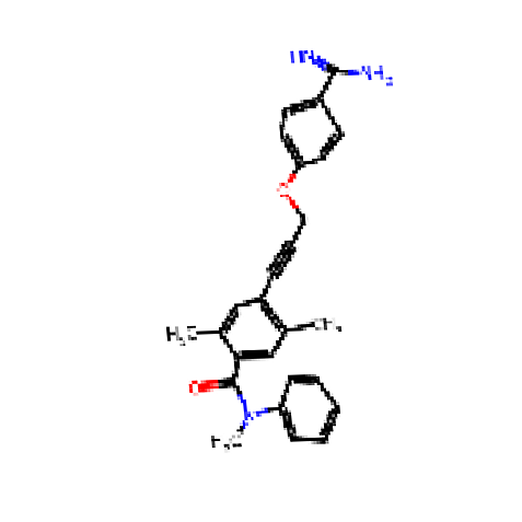 Cc1cc(C(=O)N(C)c2ccccc2)c(C)cc1C#CCOc1ccc(C(=N)N)cc1